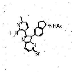 CC(=O)N[C@H]1CCc2cc(-n3c(-c4ccc(C)nc4N)nc4ccc(Br)nc43)ccc21